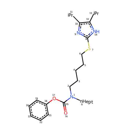 CCCCCCCN(CCCCCSc1nc(C(C)C)c(C(C)C)[nH]1)C(=O)Oc1ccccc1